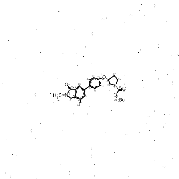 CN1Cc2c(F)cc(-c3ccc(O[C@@H]4CCN(C(=O)OC(C)(C)C)C4)cc3)cc2C1=O